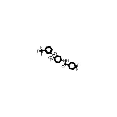 O=C(N[C@H]1CC[C@](F)(S(=O)(=O)c2cccc(C(F)(F)F)c2)CC1)C1CCC(F)(F)CC1